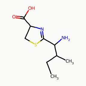 CCC(C)C(N)C1=NC(C(=O)O)CS1